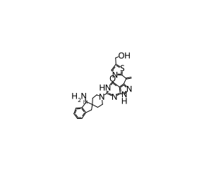 C=C(c1ncc(CO)s1)c1n[nH]c2nc(N3CCC4(CC3)Cc3ccccc3[C@H]4N)[nH]c(=O)c12